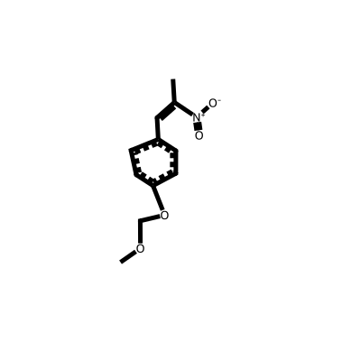 COCOc1ccc(/C=C(/C)[N+](=O)[O-])cc1